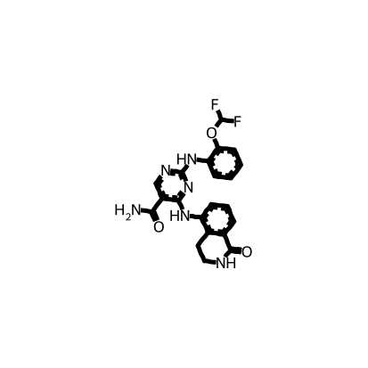 NC(=O)c1cnc(Nc2ccccc2OC(F)F)nc1Nc1cccc2c1CCNC2=O